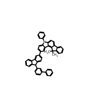 CC1(C)c2ccccc2-c2ccc3c(c21)c1cc(-c2ccc4c(c2)-c2ccccc2C4c2cccc(-c4ccccc4)c2)ccc1n3-c1ccccc1